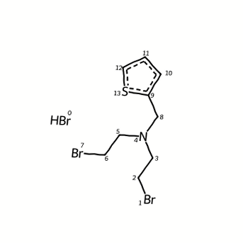 Br.BrCCN(CCBr)Cc1cccs1